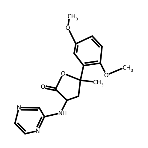 COc1ccc(OC)c(C2(C)CC(Nc3cnccn3)C(=O)O2)c1